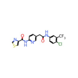 O=C(Cc1ccc(NC(=O)c2cscn2)nc1)Nc1ccc(Cl)c(C(F)(F)F)c1